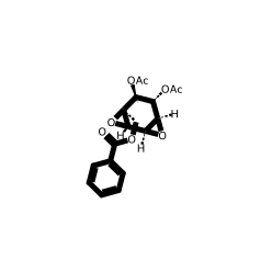 CC(=O)O[C@@H]1[C@H]2O[C@H]2[C@H]2O[C@@]2(COC(=O)c2ccccc2)[C@H]1OC(C)=O